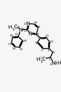 CC(=O)NC(C)Cc1ccc(-c2ccnc(N(C)c3ccccc3)n2)cc1